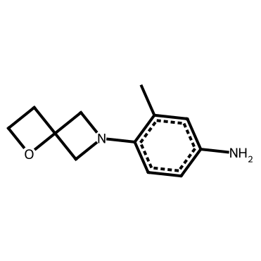 Cc1cc(N)ccc1N1CC2(CCO2)C1